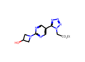 CCOC(=O)Cn1nnnc1-c1cnc(N2CC(O)C2)nc1